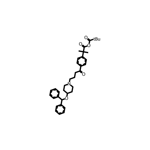 CC(C)(C)C(=O)OC(=O)C(C)(C)c1ccc(C(=O)CCCN2CCC(OC(c3ccccc3)c3ccccc3)CC2)cc1